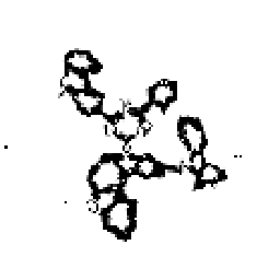 c1ccc(-c2nc(-c3ccc4sc5ccccc5c4c3)nc(-n3c4cc(-n5c6ccccc6c6ccccc65)ccc4c4c5c(ccc43)oc3ccccc35)n2)cc1